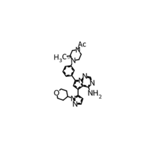 CC(=O)N1CCN(c2cccc(-c3cc(-c4ccnn4C4CCOCC4)c4c(N)ncnn34)c2)[C@@H](C)C1